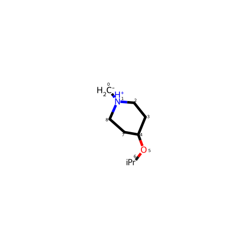 [CH2-][NH+]1CCC(OC(C)C)CC1